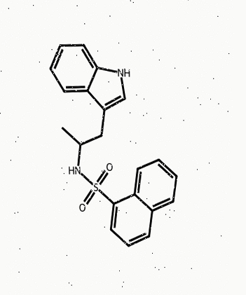 CC(Cc1c[nH]c2ccccc12)NS(=O)(=O)c1cccc2ccccc12